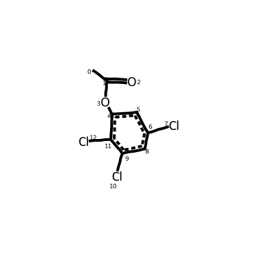 CC(=O)Oc1cc(Cl)cc(Cl)c1Cl